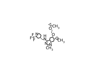 COc1cc2nc(C)nc(NCc3ccnc(C(F)(F)F)c3)c2cc1OCCOC1(C)CC1